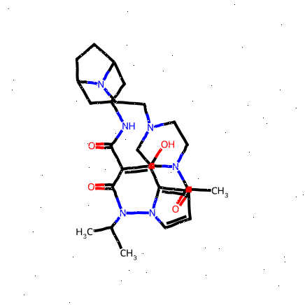 CC(=O)N1CCN(CCN2C3CCC2CC(NC(=O)c2c(O)c4cccn4n(C(C)C)c2=O)C3)CC1